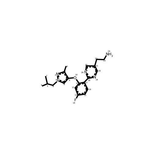 Cc1nn(CC(C)C)cc1Oc1cc(F)ccc1-c1ncc(CCN)cn1